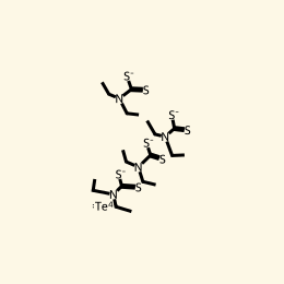 CCN(CC)C(=S)[S-].CCN(CC)C(=S)[S-].CCN(CC)C(=S)[S-].CCN(CC)C(=S)[S-].[Te+4]